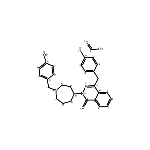 O=CO.O=c1c2ccccc2c(Cc2ccc(Cl)cc2)nn1C1CCCN(Cc2ccc(O)cc2)CC1